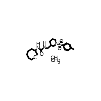 Cc1ccc(S(=O)(=O)N2CCCC(CNC(=O)N[C]3CCCCCCC3)C2)cc1.[CH2].[CH2]